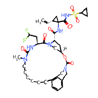 C=C[C@@H]1C[C@]1(NC(=O)[C@@H]1C[C@@H]2CN1C(=O)[C@H](CC(F)F)NC(=O)N(C)CCCCCCc1cccc3c1CN(C3)C(=O)O2)C(=O)NS(=O)(=O)C1CC1